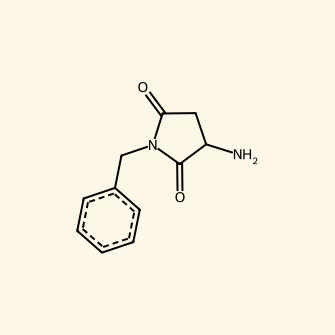 NC1CC(=O)N(Cc2ccccc2)C1=O